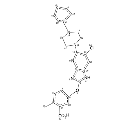 Cc1ccc(Oc2nc3nc(N4CCN(c5ccccc5)CC4)c(Cl)cc3[nH]2)cc1C(=O)O